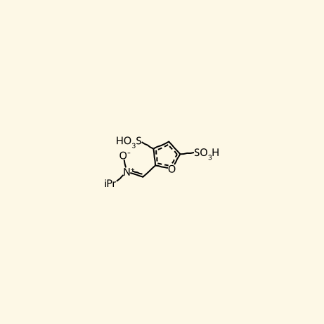 CC(C)[N+]([O-])=Cc1oc(S(=O)(=O)O)cc1S(=O)(=O)O